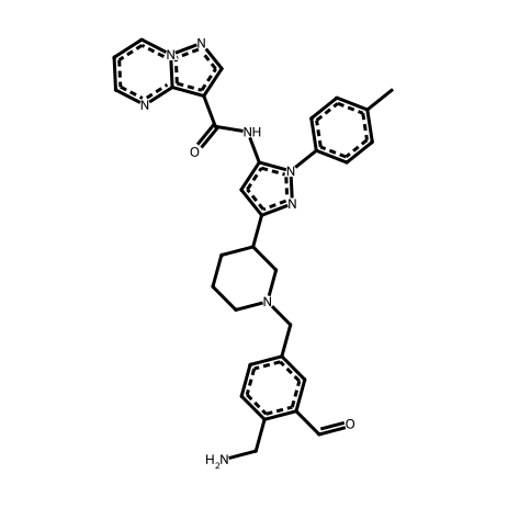 Cc1ccc(-n2nc(C3CCCN(Cc4ccc(CN)c(C=O)c4)C3)cc2NC(=O)c2cnn3cccnc23)cc1